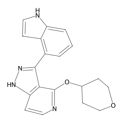 c1cc(-c2n[nH]c3ccnc(OC4CCOCC4)c23)c2cc[nH]c2c1